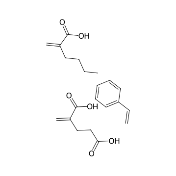 C=C(CCC(=O)O)C(=O)O.C=C(CCCC)C(=O)O.C=Cc1ccccc1